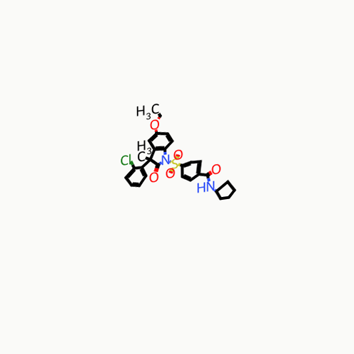 CCOc1ccc2c(c1)C(C)(c1ccccc1Cl)C(=O)N2S(=O)(=O)c1ccc(C(=O)NC2CCCC2)cc1